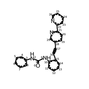 O=C(Nc1ccccc1)Nc1ccccc1C#Cc1ccc(-c2ccccn2)nc1